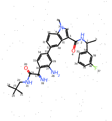 CC(NC(=O)c1cn(C)c2ccc(-c3ccc(C(=N)C(=O)NCC(C)(C)C)c(N)c3)cc12)c1cccc(F)c1